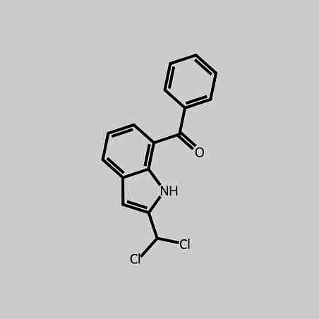 O=C(c1ccccc1)c1cccc2cc(C(Cl)Cl)[nH]c12